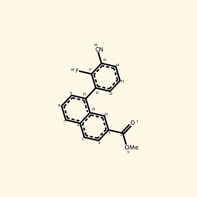 COC(=O)c1ccc2cccc(-c3cccc(C#N)c3F)c2c1